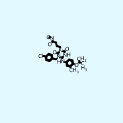 Cc1cc(NC2NC(=O)N(CCCC(=O)N=O)C(=O)N2Cc2ccc(Cl)cc2)ccc1OC(C)C